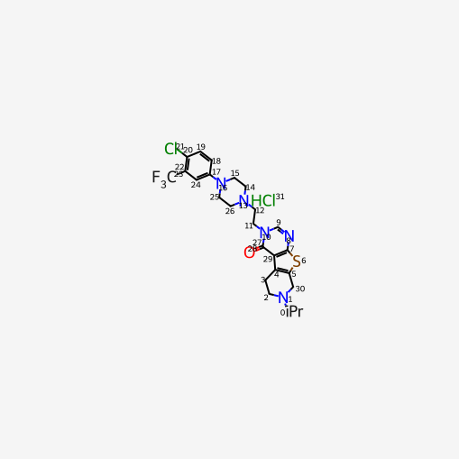 CC(C)N1CCc2c(sc3ncn(CCN4CCN(c5ccc(Cl)c(C(F)(F)F)c5)CC4)c(=O)c23)C1.Cl